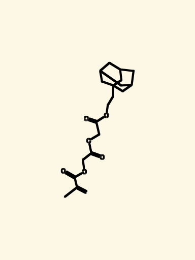 C=C(C)C(=O)OCC(=O)OCC(=O)OCCC12CC3CC(CC(C3)C1)C2